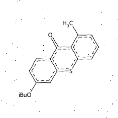 Cc1cccc2sc3cc(OCC(C)C)ccc3c(=O)c12